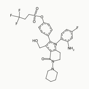 Nc1cc(F)ccc1-n1c2c(c(CO)c1-c1ccc(OS(=O)(=O)CCC(F)(F)F)cc1)C(=O)N(N1CCCCC1)CC2